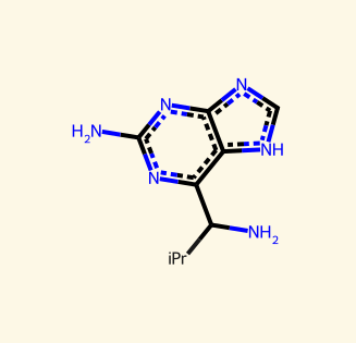 CC(C)C(N)c1nc(N)nc2nc[nH]c12